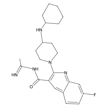 CC(=N)NC(=O)c1cc2ccc(F)cc2nc1N1CCC(NC2CCCCC2)CC1